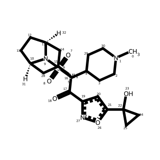 CN1CCC(CS(=O)(=O)N2[C@@H]3CC[C@H]2CC(NC(=O)c2cc(C4(O)CC4)on2)C3)CC1